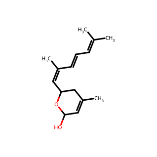 CC(C)=CC=CC(C)=CC1CC(C)=CC(O)O1